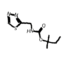 CCC(C)(C)OC(=O)NCc1nn[c]s1